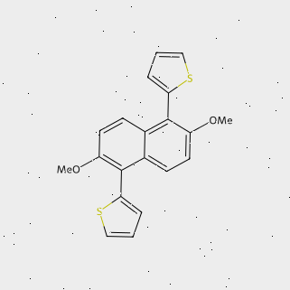 COc1ccc2c(-c3cccs3)c(OC)ccc2c1-c1cccs1